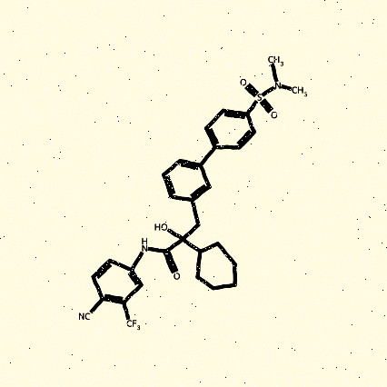 CN(C)S(=O)(=O)c1ccc(-c2cccc(CC(O)(C(=O)Nc3ccc(C#N)c(C(F)(F)F)c3)C3CCCCC3)c2)cc1